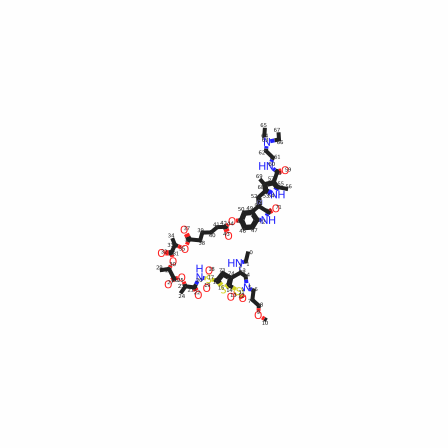 CCN[C@@H]1CN(CCCOC)S(=O)(=O)c2sc(S(=O)(=O)NC(=O)C(C)OC(=O)C(C)OC(=O)C(C)OC(=O)CCCCC(=O)Oc3ccc4c(c3)/C(=C/c3[nH]c(C)c(C(=O)NCCN(CC)CC)c3C)C(=O)N4)cc21